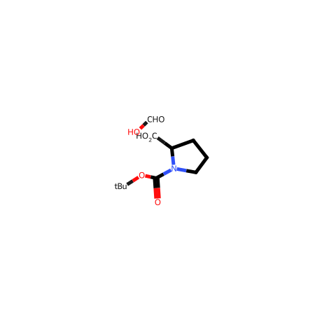 CC(C)(C)OC(=O)N1CCCC1C(=O)O.O=CO